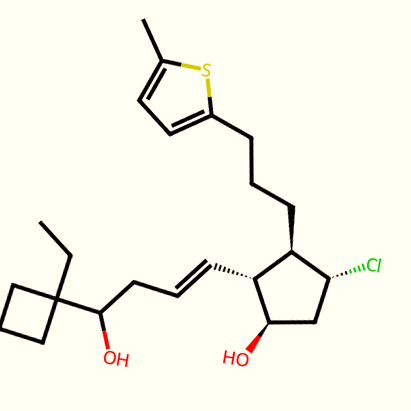 CCC1(C(O)C/C=C/[C@@H]2[C@@H](CCCc3ccc(C)s3)[C@H](Cl)C[C@H]2O)CCC1